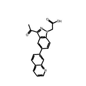 CC(=O)c1nn(CC(=O)O)c2ccc(-c3ccc4cccnc4c3)cc12